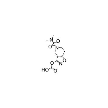 CN(C)S(=O)(=O)N1CCc2onc(OC(=O)O)c2C1